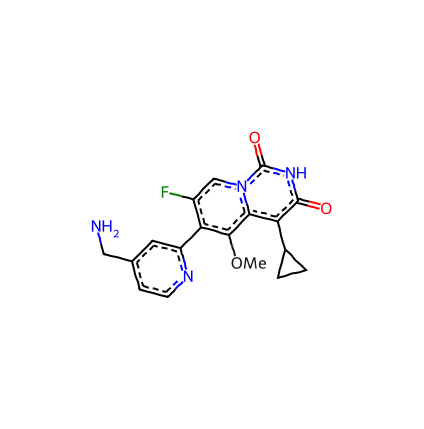 COc1c(-c2cc(CN)ccn2)c(F)cn2c(=O)[nH]c(=O)c(C3CC3)c12